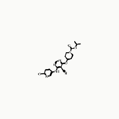 CC(C)OC(=O)N1CCC(Oc2ncnc(Nc3ccc(Cl)nc3)c2C#N)CC1